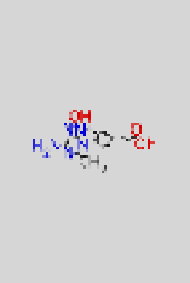 Cc1nc(N)c2nc(O)n(Cc3cccc(CCC(=O)O)c3)c2n1